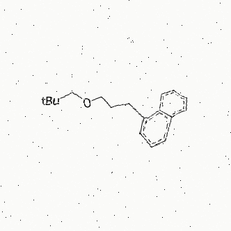 CC(C)(C)COCCCc1cccc2ccccc12